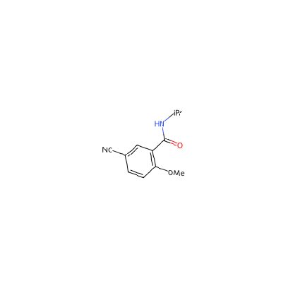 COc1ccc(C#N)cc1C(=O)NC(C)C